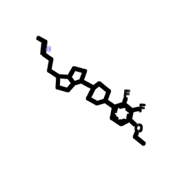 C/C=C/CCC1CCC2C(C3CCC(c4ccc(OCC)c(F)c4F)CC3)CCC12